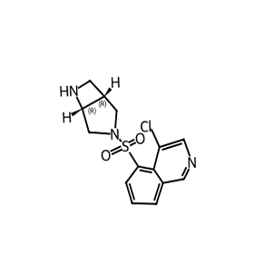 O=S(=O)(c1cccc2cncc(Cl)c12)N1C[C@H]2CN[C@H]2C1